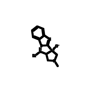 CCNC1CN(C)C[N+]1([O-])c1nc2ccccc2s1